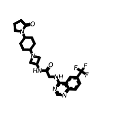 O=C(CNc1ncnc2ccc(C(F)(F)F)cc12)NC1CN(C2CCC(N3CCCC3=O)CC2)C1